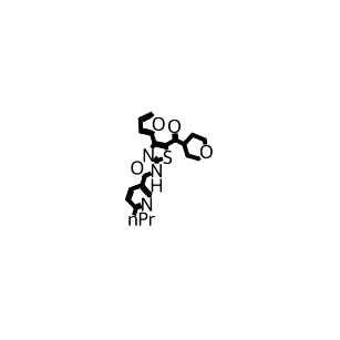 CCCc1ccc(C(=O)Nc2nc(-c3ccco3)c(C(=O)C3CCOCC3)s2)cn1